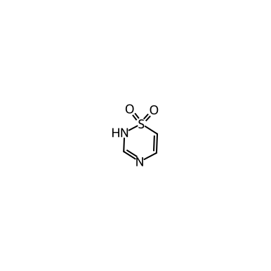 O=S1(=O)C=CN=CN1